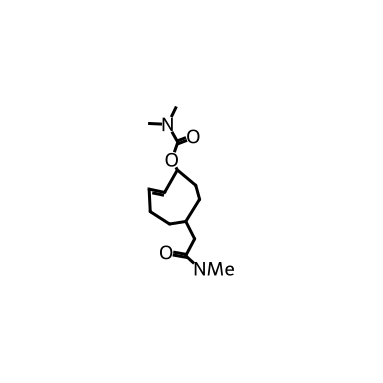 CNC(=O)CC1CC/C=C/C(OC(=O)N(C)C)CC1